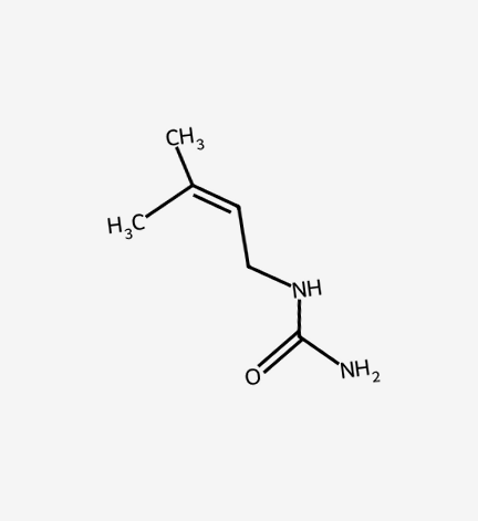 CC(C)=CCNC(N)=O